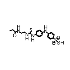 CCC(=O)NCCNC(=S)Nc1ccc(Nc2ccc(S(=O)(=O)O)cc2)cc1